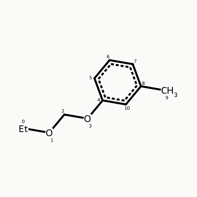 [CH2]COCOc1cccc(C)c1